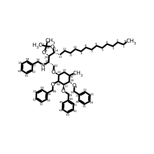 CCCCCCCCCCCCCC[C@H]1OC(C)(C)O[C@H]1[C@H](CO[C@H]1CC(C)[C@H](OCc2ccccc2)[C@@H](OCc2ccccc2)C1OCc1ccccc1)NCc1ccccc1